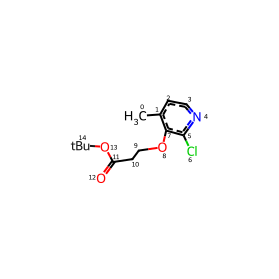 Cc1ccnc(Cl)c1OCCC(=O)OC(C)(C)C